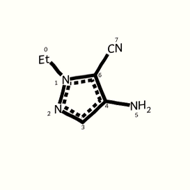 CCn1ncc(N)c1C#N